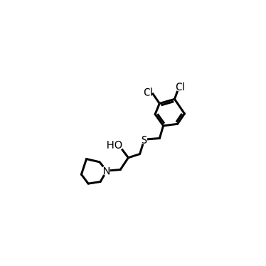 OC(CSCc1ccc(Cl)c(Cl)c1)CN1CCCCC1